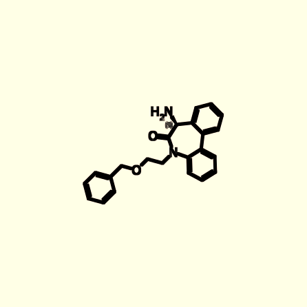 N[C@@H]1C(=O)N(CCOCc2ccccc2)c2ccccc2-c2ccccc21